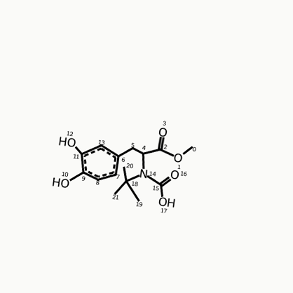 COC(=O)C(Cc1ccc(O)c(O)c1)N(C(=O)O)C(C)(C)C